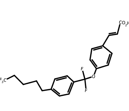 O=C(O)C=Cc1ccc(OC(F)(F)c2ccc(CCCCC(F)(F)F)cc2)cc1